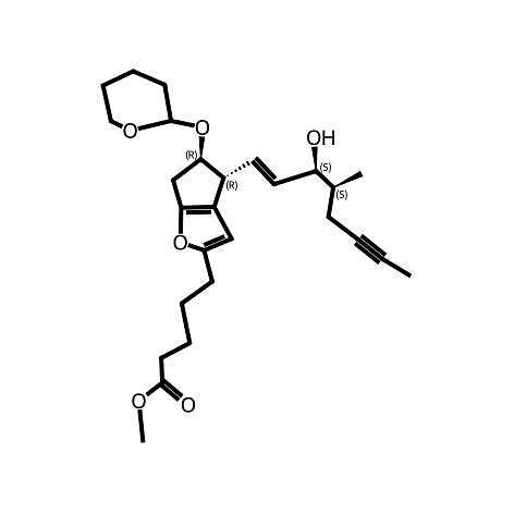 CC#CC[C@H](C)[C@H](O)C=C[C@@H]1c2cc(CCCCC(=O)OC)oc2C[C@H]1OC1CCCCO1